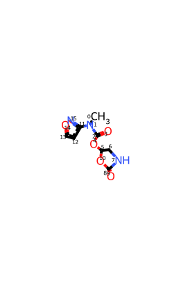 CN(C(=O)OC1CNC(=O)O1)c1ccon1